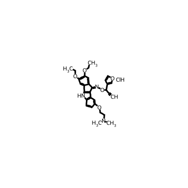 C#CC(ON=C1c2cc(OCC)c(OCC)cc2-c2[nH]c3ccc(OCCN(C)C)cc3c21)c1ccoc1.Cl